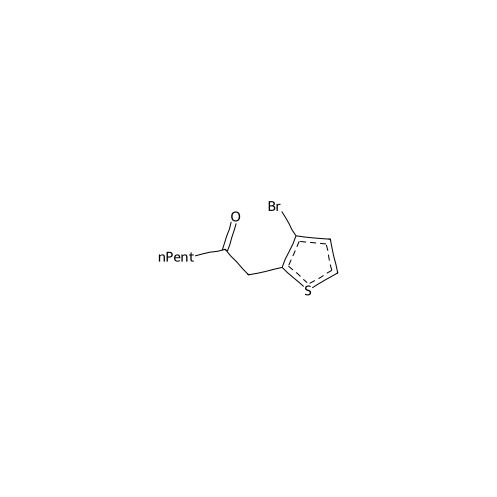 CCCCCC(=O)Cc1sccc1Br